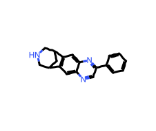 c1ccc(-c2cnc3cc4c(cc3n2)C2CNCC4C2)cc1